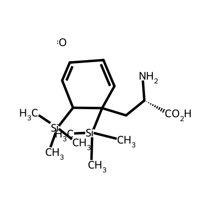 C[Si](C)(C)C1C=CC=CC1(C[C@H](N)C(=O)O)[Si](C)(C)C.[O]